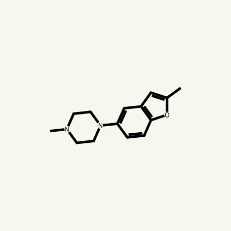 Cc1cc2cc(N3CCN(C)CC3)ccc2o1